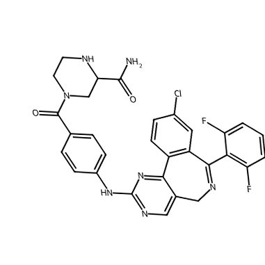 NC(=O)C1CN(C(=O)c2ccc(Nc3ncc4c(n3)-c3ccc(Cl)cc3C(c3c(F)cccc3F)=NC4)cc2)CCN1